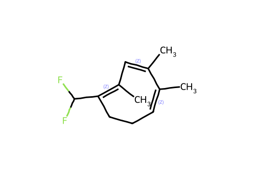 CC1=C/CC/C(C(F)F)=C(C)/C=C\1C